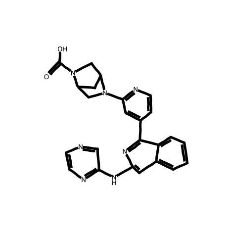 O=C(O)N1CC2CC1CN2c1cc(-c2nc(Nc3cnccn3)cc3ccccc23)ccn1